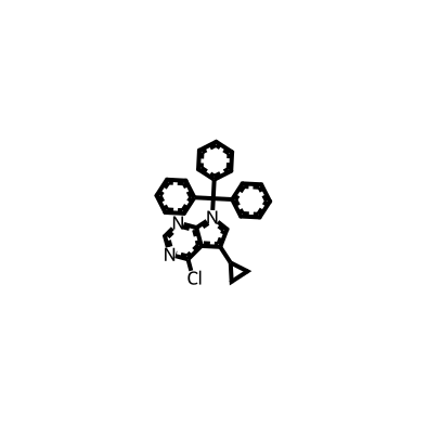 Clc1ncnc2c1c(C1CC1)cn2C(c1ccccc1)(c1ccccc1)c1ccccc1